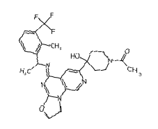 CC(=O)N1CCC(O)(c2cc3/c(=N/C(C)c4cccc(C(F)(F)F)c4C)nc4n(c3cn2)CCO4)CC1